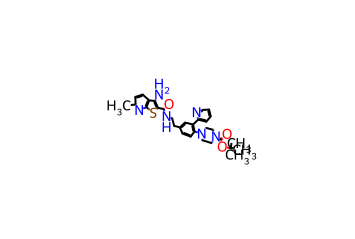 Cc1ccc2c(N)c(C(=O)NCCc3ccc(N4CCN(C(=O)OC(C)(C)C)CC4)c(-c4ccccn4)c3)sc2n1